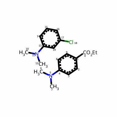 CCOC(=O)c1ccc(N(C)C)cc1.CN(C)c1cccc(Cl)c1